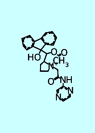 C[N+]1(CC(=O)Nc2cnccn2)CCCC1C(OC=O)C1(O)c2ccccc2-c2ccccc21